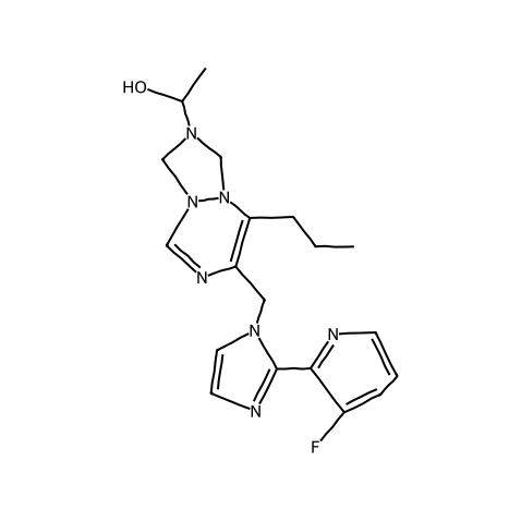 CCCC1=C(Cn2ccnc2-c2ncccc2F)N=CN2CN(C(C)O)CN12